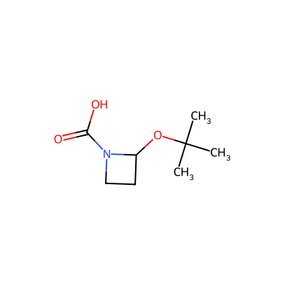 CC(C)(C)OC1CCN1C(=O)O